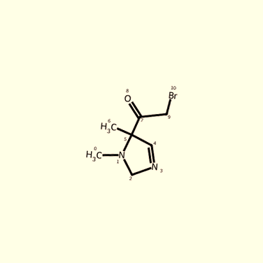 CN1CN=CC1(C)C(=O)CBr